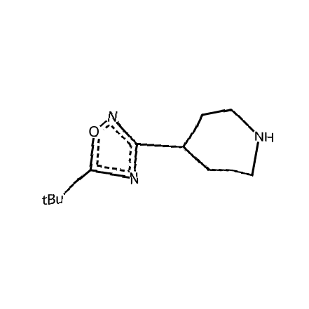 CC(C)(C)c1nc(C2CCNCC2)no1